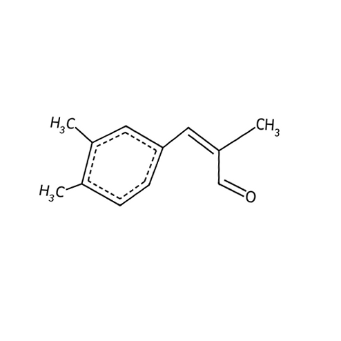 CC(C=O)=Cc1ccc(C)c(C)c1